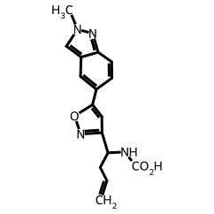 C=CCC(NC(=O)O)c1cc(-c2ccc3nn(C)cc3c2)on1